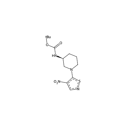 CC(C)(C)OC(=O)N[C@H]1CCCN(c2sncc2[N+](=O)[O-])C1